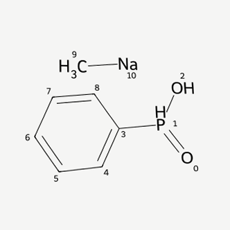 O=[PH](O)c1ccccc1.[CH3][Na]